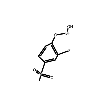 CS(=O)(=O)c1ccc(OBO)c(F)c1